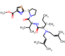 CC[C@H](C)[C@@H](C(=O)N[C@H](C(=O)N1CCC[C@H]1c1nc(C(=O)OC)cs1)C(C)C)N(CC=C(C)C)CC=C(C)C